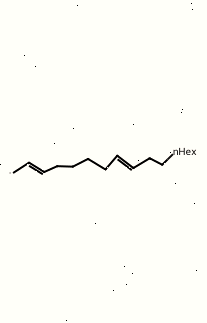 [CH2]C=CCCCCC=CCCCCCCCC